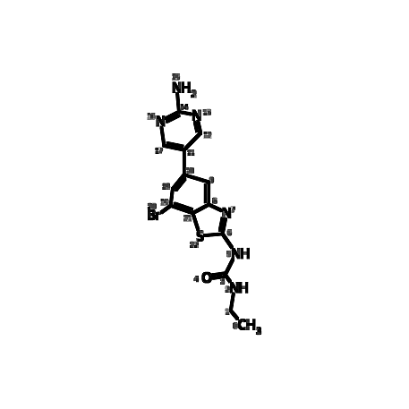 CCNC(=O)Nc1nc2cc(-c3cnc(N)nc3)cc(Br)c2s1